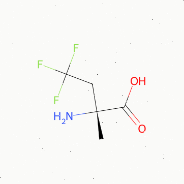 C[C@@](N)(CC(F)(F)F)C(=O)O